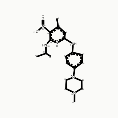 Cc1cc(Nc2ccc(N3CCN(C)CC3)cc2)nc(NC(C)C)c1[N+](=O)[O-]